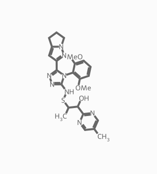 COc1cccc(OC)c1-n1c(NSC(C)C(O)c2ncc(C)cn2)nnc1-c1cc2n(n1)CCC2